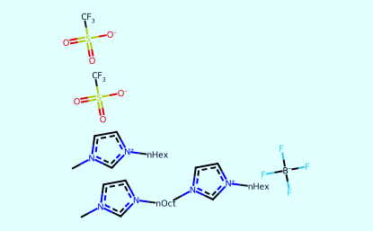 CCCCCCCCn1cc[n+](C)c1.CCCCCC[n+]1ccn(C)c1.CCCCCC[n+]1ccn(C)c1.F[B-](F)(F)F.O=S(=O)([O-])C(F)(F)F.O=S(=O)([O-])C(F)(F)F